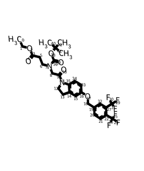 CCOC(=O)CCN(CC(=O)N1CCc2cc(OCc3ccc(C(F)(F)F)c(C(F)(F)F)c3)ccc21)C(=O)OC(C)(C)C